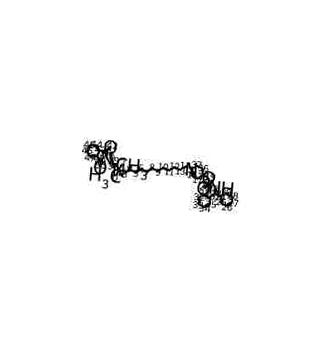 C[N+](C)(CCCCCCCCCCCCN1CCC(OC(=O)NC(c2ccccc2)c2ccccc2)CC1)CCN1C(=O)c2ccccc2C1=O